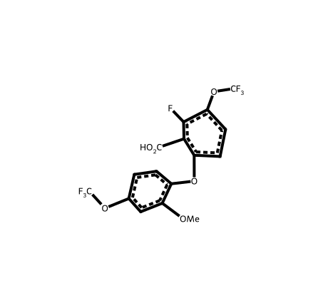 COc1cc(OC(F)(F)F)ccc1Oc1ccc(OC(F)(F)F)c(F)c1C(=O)O